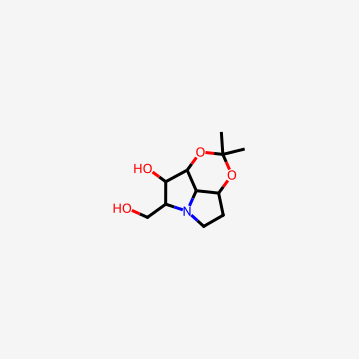 CC1(C)OC2CCN3C(CO)C(O)C(O1)C23